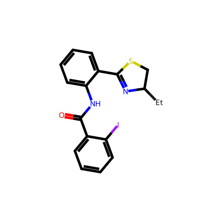 CCC1CSC(c2ccccc2NC(=O)c2ccccc2I)=N1